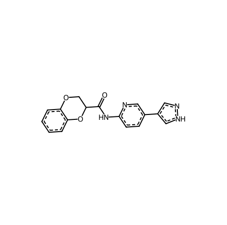 O=C(Nc1ccc(-c2cn[nH]c2)cn1)C1COc2ccccc2O1